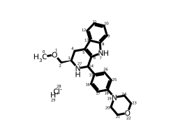 COC[C@H]1Cc2c([nH]c3ccccc23)C(c2ccc(N3CCOCC3)cc2)N1.[Cl-].[H+]